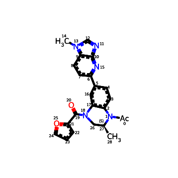 CC(=O)N1c2ccc(-c3ccc4c(ncn4C)n3)cc2N(C(=O)c2ccco2)C[C@@H]1C